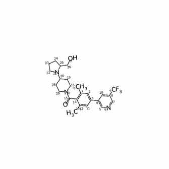 Cc1cc(-c2cncc(C(F)(F)F)c2)cc(C)c1C(=O)N1CCC(N2CCCC2CO)CC1